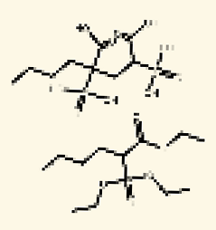 CCCCC(C(=O)OCC)P(=O)(OCC)OCC.CCCCC(CC(C(=O)O)P(=O)(O)O)(C(=O)O)P(=O)(O)O